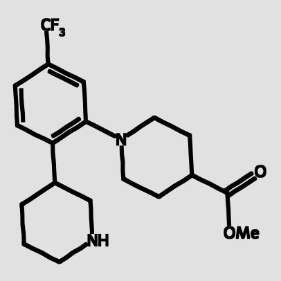 COC(=O)C1CCN(c2cc(C(F)(F)F)ccc2C2CCCNC2)CC1